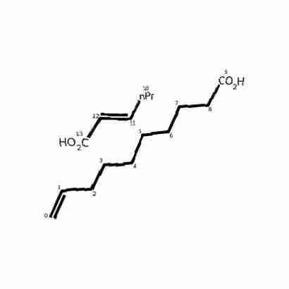 C=CCCCCCCCC(=O)O.CCCC=CC(=O)O